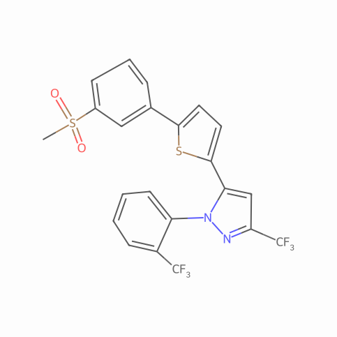 CS(=O)(=O)c1cccc(-c2ccc(-c3cc(C(F)(F)F)nn3-c3ccccc3C(F)(F)F)s2)c1